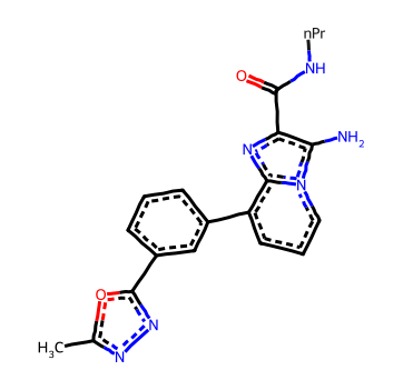 CCCNC(=O)c1nc2c(-c3cccc(-c4nnc(C)o4)c3)cccn2c1N